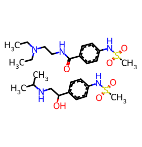 CC(C)NCC(O)c1ccc(NS(C)(=O)=O)cc1.CCN(CC)CCNC(=O)c1ccc(NS(C)(=O)=O)cc1